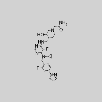 NC(=O)CN1CC[C@H](CNc2ncnc(N(Cc3ccc(-n4cccn4)cc3F)C3CC3)c2F)[C@@H](O)C1